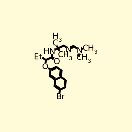 CCC(Oc1ccc2ccc(Br)cc2c1)C(=O)NC(C)(C)C/N=C/N(C)C